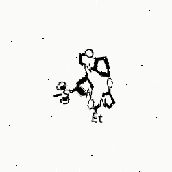 CCC(=O)N1CCC(Oc2ccc3c(c2)N(c2cncc(S(C)(=O)=O)c2)CCO3)C1